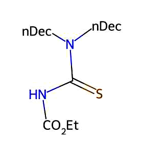 CCCCCCCCCCN(CCCCCCCCCC)C(=S)NC(=O)OCC